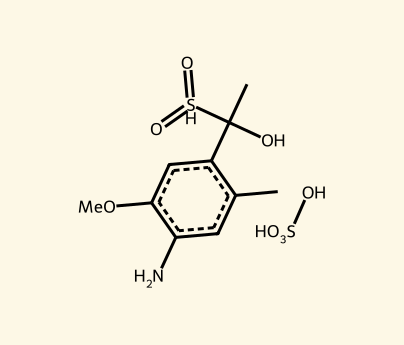 COc1cc(C(C)(O)[SH](=O)=O)c(C)cc1N.O=S(=O)(O)O